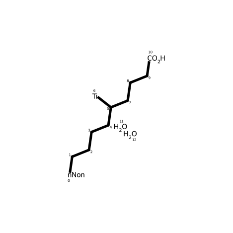 CCCCCCCCCCCCC[CH]([Ti])CCCC(=O)O.O.O